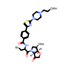 COCCN1CCN(c2nc(-c3ccc(C(=O)NC(CC(C)(C)C)C(=O)N4C[C@@H](OC)[C@H]5OCC(=O)[C@H]54)cc3)cs2)CC1